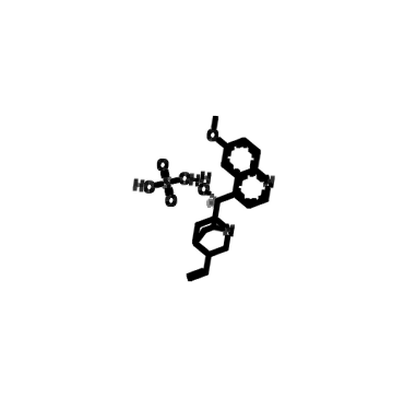 C=CC1CN2CCC1CC2[C@H](O)c1ccnc2ccc(OC)cc12.O=S(=O)(O)O